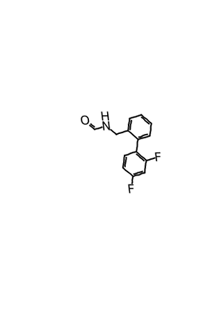 O=CNCc1ccccc1-c1ccc(F)cc1F